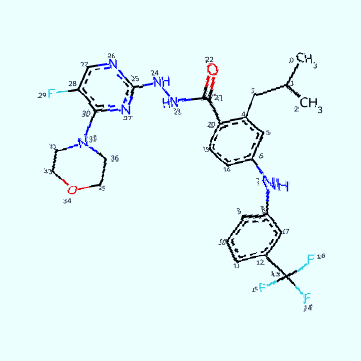 CC(C)Cc1cc(Nc2cccc(C(F)(F)F)c2)ccc1C(=O)NNc1ncc(F)c(N2CCOCC2)n1